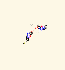 COc1cc2c(cc1OCCCOc1cc3c(cc1OC)C(=O)N1c4ccc(CSCCC(C)(C)C)cc4C[C@H]1C=N3)N=C[C@@H]1Cc3ccccc3N1C2=O